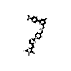 Cc1cc(CNCC2CCN(c3nccc(/C=C4\SC(=O)NC4=O)n3)CC2)nc(-c2ccc(N(C)C)nc2)c1